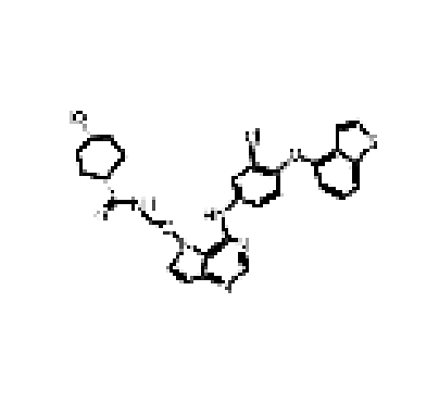 O=C(NCCn1ccc2ncnc(Nc3ccc(Oc4cccc5sccc45)c(Cl)c3)c21)[C@H]1CC[C@@H](O)CC1